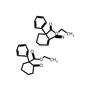 CCOC(=O)C1(c2ccccc2)CCCC=C1C#N.CCOC(=O)C1(c2ccccc2)CCCCC1=O